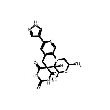 C[C@@H]1CN2c3cnc(-c4cn[nH]c4)cc3CC3(C(=O)NC(=O)NC3=O)[C@H]2[C@H](C)O1